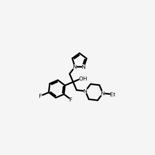 CCN1CCN(CC(O)(Cn2cccn2)c2ccc(F)cc2F)CC1